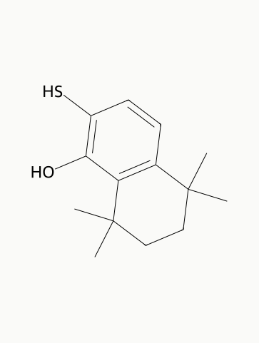 CC1(C)CCC(C)(C)c2c1ccc(S)c2O